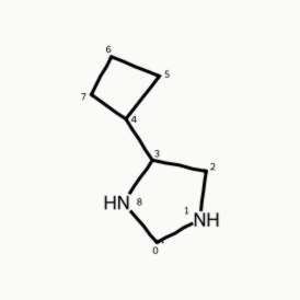 [CH]1NCC(C2CCC2)N1